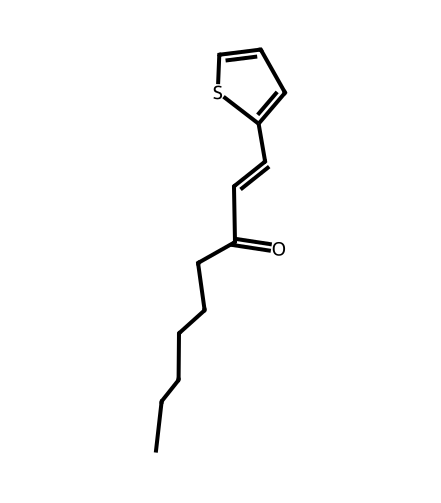 CCCCCCC(=O)C=Cc1cccs1